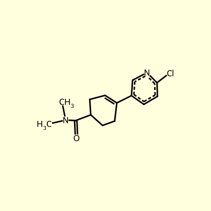 CN(C)C(=O)C1CC=C(c2ccc(Cl)nc2)CC1